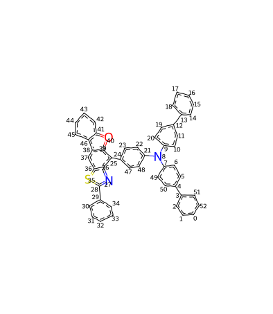 c1ccc(-c2ccc(N(c3ccc(-c4ccccc4)cc3)c3ccc(-c4c5nc(-c6ccccc6)sc5cc5c4oc4ccccc45)cc3)cc2)cc1